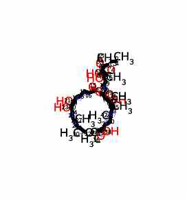 CCC[C@@H]1O[C@@](C)([C@@H](O)C/C=C/[C@@H]2OC(=O)/C=C/C=C/[C@@H](O)[C@H](O)/C=C/C(C)=C/C(C)CCC[C@@H](OC)[C@H](O)/C=C/C(C)=C/[C@@H](C)[C@H](O)[C@H]2OC)[C@H](O)[C@@H]1OC